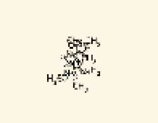 CCCC(=NOC)c1c(SC)nc2c(-c3c(C)cc(C)cc3OC)nccn12